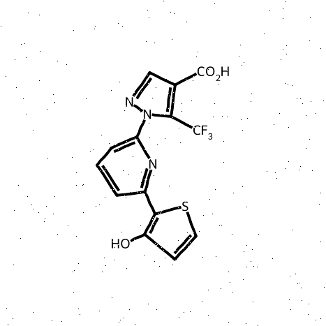 O=C(O)c1cnn(-c2cccc(-c3sccc3O)n2)c1C(F)(F)F